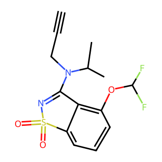 C#CCN(C1=NS(=O)(=O)c2cccc(OC(F)F)c21)C(C)C